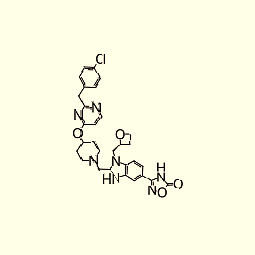 O=c1[nH]c(-c2ccc3c(c2)NC(CN2CCC(Oc4ccnc(Cc5ccc(Cl)cc5)n4)CC2)N3C[C@@H]2CCO2)no1